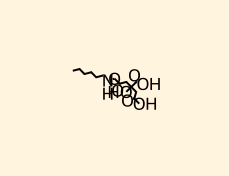 CCCCCCNOC(=O)CC(O)(CC(=O)O)C(=O)O